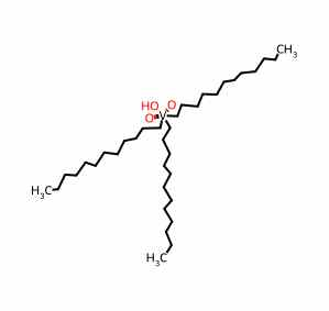 CCCCCCCCCCC[CH2][V](=[O])(=[O])([OH])([CH2]CCCCCCCCCCC)[CH2]CCCCCCCCCCC